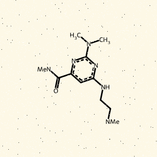 CNCCNc1cc(C(=O)NC)nc(N(C)C)n1